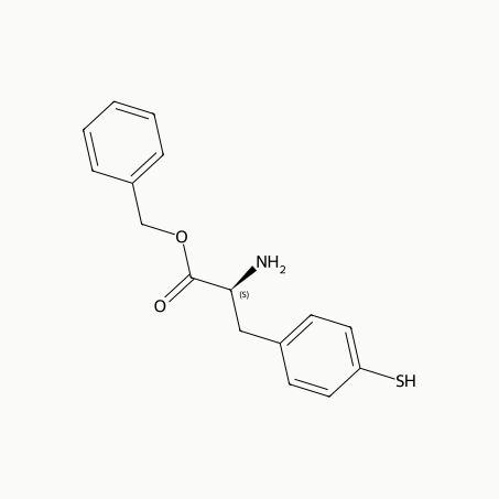 N[C@@H](Cc1ccc(S)cc1)C(=O)OCc1ccccc1